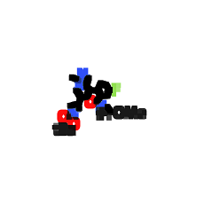 COCCN(C(=O)c1cc(F)ccc1-c1cc(C2CN(C(=O)OC(C)(C)C)C2)cn2c(C)ncc12)C(C)C